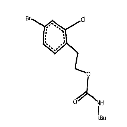 CC(C)(C)NC(=O)OCCc1ccc(Br)cc1Cl